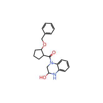 O=C(C1CCCC1OCc1ccccc1)N1CC(O)Nc2ccccc21